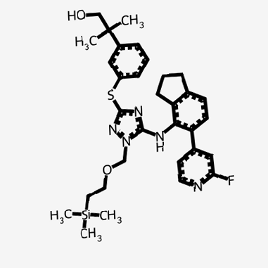 CC(C)(CO)c1cccc(Sc2nc(Nc3c(-c4ccnc(F)c4)ccc4c3CCC4)n(COCC[Si](C)(C)C)n2)c1